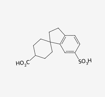 O=C(O)C1CCC2(CCc3ccc(S(=O)(=O)O)cc32)CC1